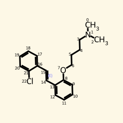 CN(C)CCCCOc1ccccc1/C=C/c1ccccc1Cl